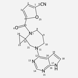 N#Cc1ccc(C(=O)N2CCCN(c3ncnc4[nH]ccc34)CC23CC3)o1